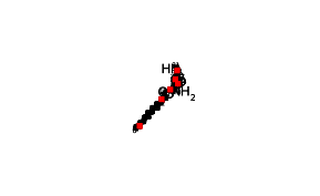 CCCCCCCCCCCCCCCC(=O)OCC(N)COP(=O)(OC)OCCNC